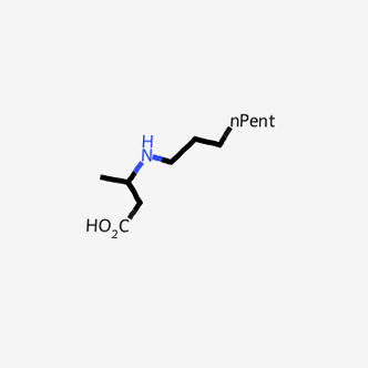 CCCCCCCCNC(C)CC(=O)O